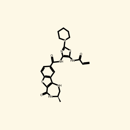 C=CC(=O)Nc1sc(N2CCCCC2)nc1NC(=O)c1ccc2sc3c(c2c1)NC[C@@H](C)NC3=O